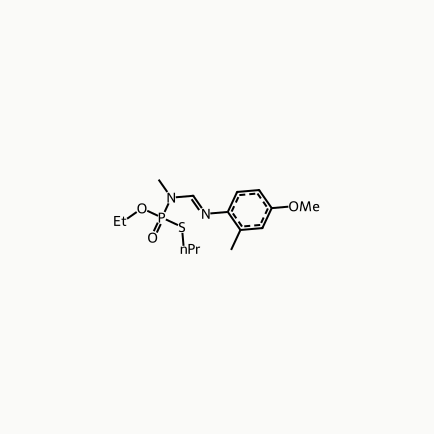 CCCSP(=O)(OCC)N(C)C=Nc1ccc(OC)cc1C